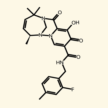 Cc1ccc(CNC(=O)c2cn3c(c(O)c2=O)C(=O)N2CN3[C@@H](C)C=CC2(C)C)c(F)c1